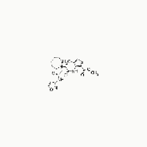 COC(=O)c1scc(C)c1NC(=O)C[N+]1(CC(=O)Nc2ccon2)CCCCCC1